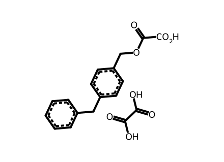 O=C(O)C(=O)O.O=C(O)C(=O)OCc1ccc(Cc2ccccc2)cc1